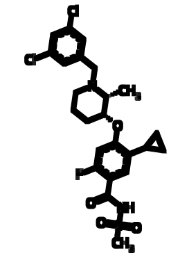 C[C@@H]1[C@H](Oc2cc(F)c(C(=O)NS(C)(=O)=O)cc2C2CC2)CCCN1Cc1cc(Cl)cc(Cl)c1